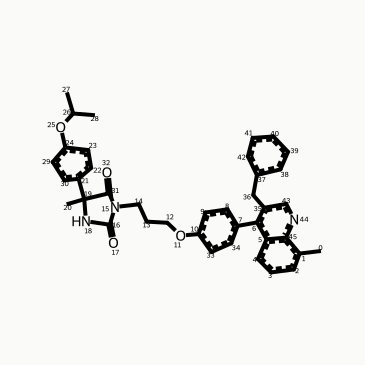 Cc1cccc2c(-c3ccc(OCCCN4C(=O)NC(C)(c5ccc(OC(C)C)cc5)C4=O)cc3)c(Cc3ccccc3)cnc12